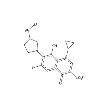 CCNC1CCN(c2c(F)cc3c(=O)c(C(=O)O)cn(C4CC4)c3c2C#N)C1